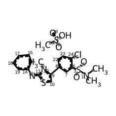 CN(C)S(=O)(=O)c1cc(-c2csc(=Nc3ccccc3)n2C)ccc1Cl.CS(=O)(=O)O